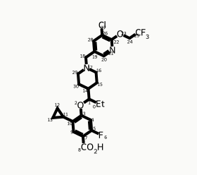 CCC(Oc1cc(F)c(C(=O)O)cc1C1CC1)C1CCN(Cc2cnc(OCC(F)(F)F)c(Cl)c2)CC1